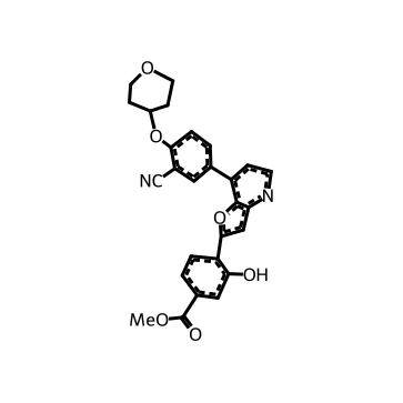 COC(=O)c1ccc(-c2cc3nccc(-c4ccc(OC5CCOCC5)c(C#N)c4)c3o2)c(O)c1